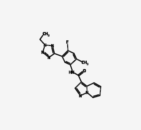 CCn1nnc(-c2cc(NC(=O)c3cnn4ccccc34)c(C)cc2F)n1